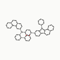 c1ccc(-c2ccccc2N(c2ccc(-c3ccc4c5ccc6ccccc6c5n(-c5ccccc5)c4c3)cc2)c2ccc3ccc4ccccc4c3c2)cc1